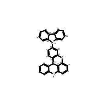 c1ccc2c(c1)Sc1cccc3c1B2c1ccc(-n2c4ccccc4c4ccccc42)cc1S3